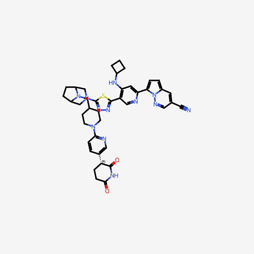 N#Cc1cnn2c(-c3cc(NC4CCC4)c(-c4nnc(N5CC6CCC(C5)N6CC5CCN(c6ccc([C@H]7CCC(=O)NC7=O)cn6)CC5)s4)cn3)ccc2c1